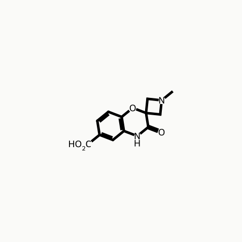 CN1CC2(C1)Oc1ccc(C(=O)O)cc1NC2=O